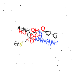 CCSCCCO[C@]1(C(=O)ON=NN=NN=NN=N)C[C@H](O)[C@@H](NC(C)=O)C([C@H](O)[C@H](O)CNC(=O)c2ccc(-c3ccccc3)cc2)O1